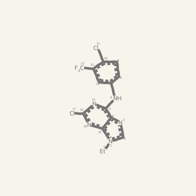 CCn1cnc2c(Nc3ccc(Cl)c(C(F)(F)F)c3)nc(Cl)nc21